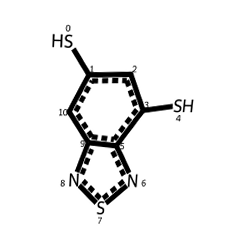 Sc1cc(S)c2nsnc2c1